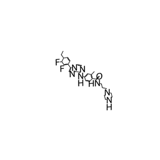 CCC1C=CC(c2cnc3c(Nc4ccc(C(=O)NCCCN5CCNCC5)c(C)c4)nccn23)=C(F)C1F